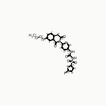 COOSc1ccc2c(c1)C(=O)N(c1ccc(NC(=O)NS(=O)(=O)c3ccc(F)s3)cn1)C(=O)C2